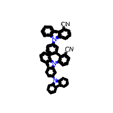 N#Cc1cccc(-n2c3ccccc3c3ccc(-n4c5ccccc5c5ccccc54)cc32)c1-c1cccc(-n2c3ccccc3c3c(C#N)cccc32)c1